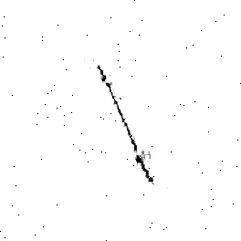 NCCCCC(N)C(=O)NCCCOCCOCCOCCOCCOCCCNC(=O)[C@@H](N)CCCCN